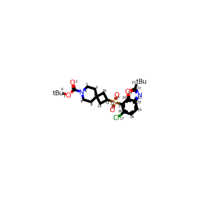 CC(C)(C)OC(=O)N1CCC2(CC1)CC(S(=O)(=O)c1c(Cl)ccc3nc(C(C)(C)C)oc13)C2